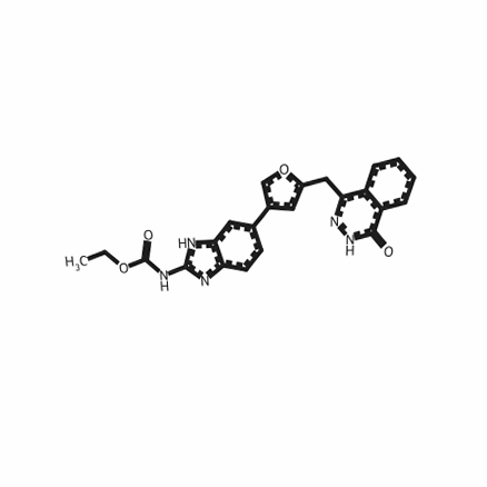 CCOC(=O)Nc1nc2ccc(-c3coc(Cc4n[nH]c(=O)c5ccccc45)c3)cc2[nH]1